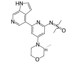 C[C@@H]1COCCN1c1cc(N=S(C)(C)=O)nc(-c2cncc3[nH]ccc23)c1